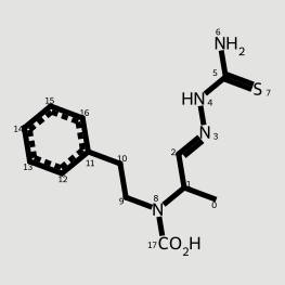 CC(C=NNC(N)=S)N(CCc1ccccc1)C(=O)O